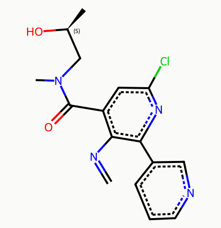 C=Nc1c(C(=O)N(C)C[C@H](C)O)cc(Cl)nc1-c1cccnc1